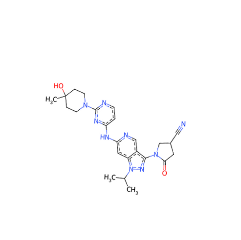 CC(C)n1nc(N2CC(C#N)CC2=O)c2cnc(Nc3ccnc(N4CCC(C)(O)CC4)n3)cc21